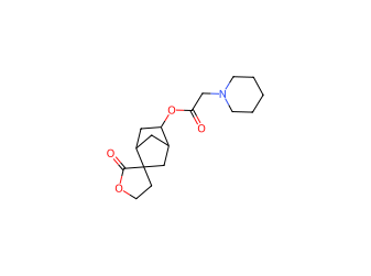 O=C(CN1CCCCC1)OC1CC2CC1CC21CCOC1=O